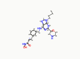 CCCCn1cnc2c(NCc3cccc(/C=C/C(=O)NO)c3)nc(C3CNCCO3)nc21